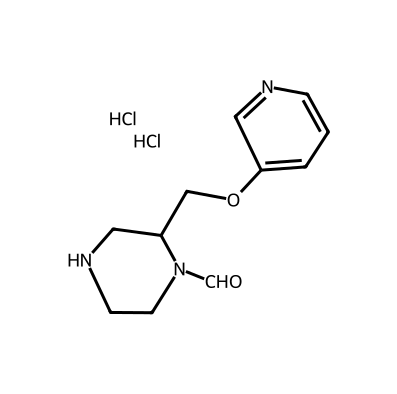 Cl.Cl.O=CN1CCNCC1COc1cccnc1